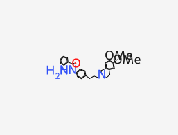 COc1cc2c(cc1OC)CN(CCCc1ccc(NC(=O)c3ccccc3N)cc1)CC2